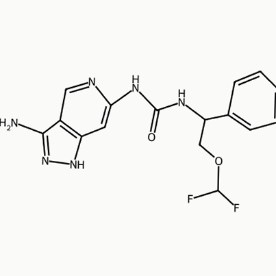 Nc1n[nH]c2cc(NC(=O)NC(COC(F)F)c3ccccc3)ncc12